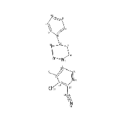 Cc1c(N2CCC(c3ccccc3)CC2)cnc(C#N)c1Cl